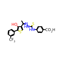 CC(=NNC(=S)Nc1ccc(C(=O)O)cc1)c1csc(-c2cccc(C(F)(F)F)c2)c1O